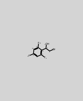 OC(CBr)c1c(F)cc(F)cc1F